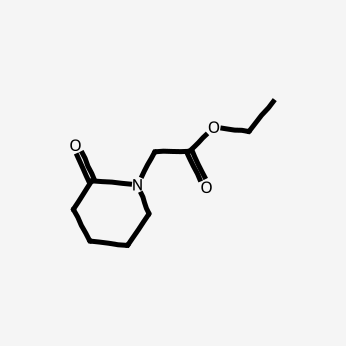 CCOC(=O)CN1CCCCC1=O